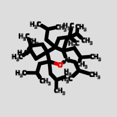 CC(C)[CH2][Al]1[O]C(CC(C)C)(CC(C)C)C(CC(C)C)(CC(C)C)C(CC(C)C)(CC(C)C)[C]1(CC(C)C)CC(C)C